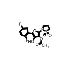 CC(=O)Oc1c(N2CCCS2(=O)=O)oc(-c2cc(F)ccc2F)c1O